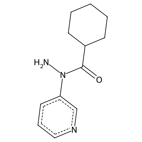 NN(C(=O)C1CCCCC1)c1cccnc1